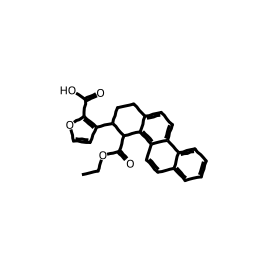 CCOC(=O)C1c2c(ccc3c2ccc2ccccc23)CCC1c1ccoc1C(=O)O